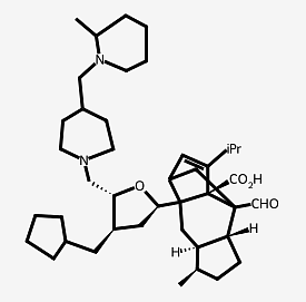 CC(C)C1=CC2CC3(C=O)[C@@H]4CC[C@@H](C)[C@H]4CC2([C@H]2C[C@@H](CC4CCCC4)[C@H](CN4CCC(CN5CCCCC5C)CC4)O2)[C@]13C(=O)O